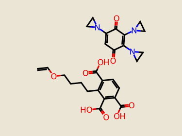 C=COCCCCc1c(C(=O)O)ccc(C(=O)O)c1C(=O)O.O=C1C=C(N2CC2)C(=O)C(N2CC2)=C1N1CC1